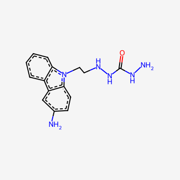 NNC(=O)NNCCn1c2ccccc2c2cc(N)ccc21